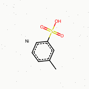 Cc1cccc(S(=O)(=O)O)c1.[Ni]